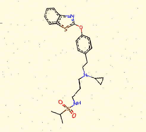 CC(C)S(=O)(=O)NCCCN(CCc1ccc(Oc2nc3ccccc3s2)cc1)C1CC1